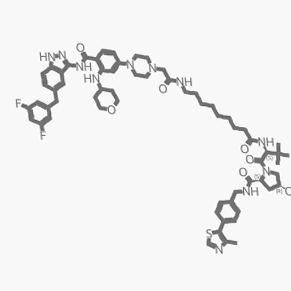 Cc1ncsc1-c1ccc(CNC(=O)[C@@H]2C[C@@H](O)CN2C(=O)[C@@H](NC(=O)CCCCCCCCNC(=O)CN2CCN(c3ccc(C(=O)Nc4n[nH]c5ccc(Cc6cc(F)cc(F)c6)cc45)c(NC4CCOCC4)c3)CC2)C(C)(C)C)cc1